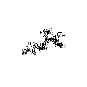 CC[C@@]1(O)C(=O)OCc2c1cc1n(c2=O)Cc2c-1nc1cc(F)c(C)c3c1c2CC(C(OC(N)=O)c1ccc(NC(=O)[C@H](C)NC(=O)[C@@H](NC(=O)OCCN(CCOC(=O)N[C@H](C(=O)N[C@@H](C)C(=O)Nc2ccc(COC(=O)N[C@H]4CCc5c(C)c(F)cc6nc7c(c4c56)Cn4c-7cc5c(c4=O)COC(=O)[C@]5(O)CC)cc2)C(C)C)S(=O)(=O)NC(=O)OCCCCCNC(=O)OC[C@@H]2[C@@H]4CCC#CCC[C@@H]42)C(C)C)cc1)C3